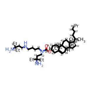 CCC(N)(CC)CCNCCCCN(CCC(N)(CC)CC)C(=O)O[C@H]1CC[C@@]2(C)C(=CC[C@H]3[C@@H]4CC[C@H]([C@H](C)CCCC(C)C)[C@@]4(C)CC[C@@H]32)C1